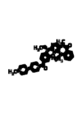 CCN(c1ncc2c(n1)N(C)c1ccccc1C(=O)N2C)c1ccc(C(=O)N2CCC(N3CCN(C)CC3)CC2)cc1OC